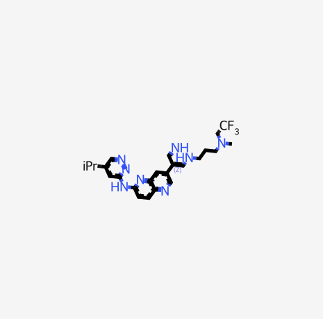 CC(C)c1cnnc(Nc2ccc3ncc(/C(C=N)=C/NCCCN(C)CC(F)(F)F)cc3n2)c1